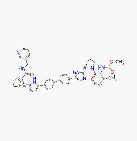 COC(=O)NC(C(=O)N1CCC[C@H]1c1ncc(-c2ccc(-c3ccc(-c4cnc([C@@H]5C6CCC(C6)C5C(=O)NCc5cccnc5)[nH]4)cc3)cc2)[nH]1)C(C)C